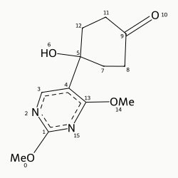 COc1ncc(C2(O)CCC(=O)CC2)c(OC)n1